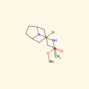 C=CCC(Br)N1C2CCC1CC(NC(=O)OC(C)(C)C)C2